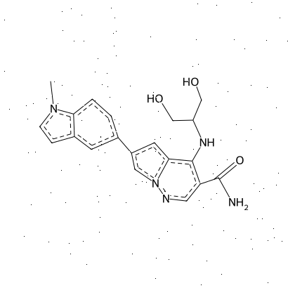 Cn1ccc2cc(-c3cc4c(NC(CO)CO)c(C(N)=O)cnn4c3)ccc21